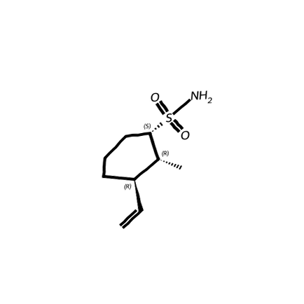 C=C[C@H]1CCC[C@H](S(N)(=O)=O)[C@@H]1C